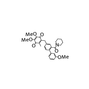 COC1=C(OC)C(=O)C(Cc2ccc(-c3cccc(OC)c3)c(C(=O)N3CCCCC3)c2)=C(C)C1=O